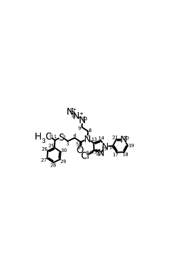 CC(SCCC(=O)N(CCN=[N+]=[N-])c1cn(-c2cccnc2)nc1Cl)c1ccccc1